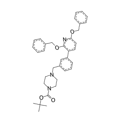 CC(C)(C)OC(=O)N1CCN(Cc2cccc(-c3ccc(OCc4ccccc4)nc3OCc3ccccc3)c2)CC1